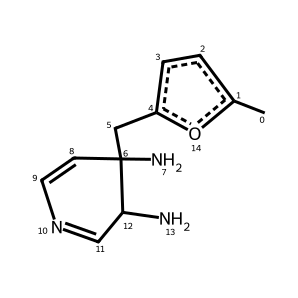 Cc1ccc(CC2(N)C=CN=CC2N)o1